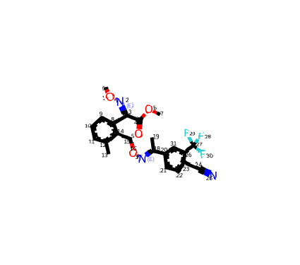 CO/N=C(/C(=O)OC)c1cccc(C)c1CO/N=C(\C)c1ccc(C#N)c(C(F)(F)F)c1